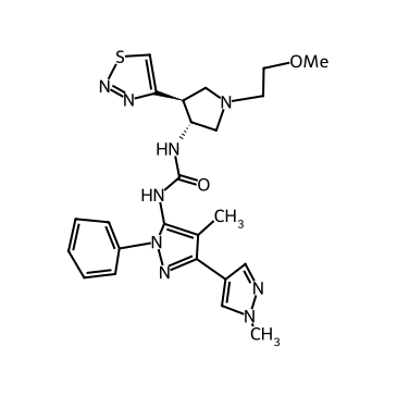 COCCN1C[C@H](NC(=O)Nc2c(C)c(-c3cnn(C)c3)nn2-c2ccccc2)[C@@H](c2csnn2)C1